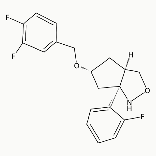 Fc1ccc(CO[C@@H]2C[C@H]3CON[C@@]3(c3ccccc3F)C2)cc1F